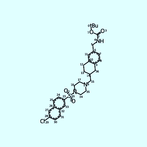 CC(C)(C)OC(=O)NCc1ccc2c(c1)CCC(CN1CCN(S(=O)(=O)c3ccc4cc(Cl)ccc4c3)CC1)C2